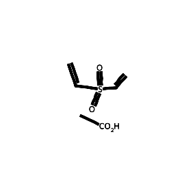 C=CS(=O)(=O)C=C.CC(=O)O